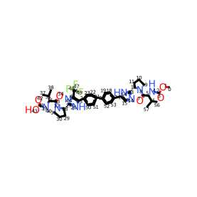 COC(=O)N[C@H](C(=O)N1CCC[C@H]1c1ncc(-c2ccc(-c3ccc(-c4[nH]c([C@@H]5CCCN5C(=O)[C@H](C(C)C)N(C)C(=O)O)nc4C(F)(F)F)cc3)cc2)[nH]1)C(C)C